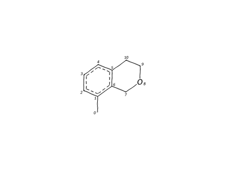 Cc1cccc2c1COCC2